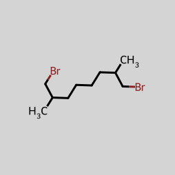 CC(CBr)CCCCC(C)CBr